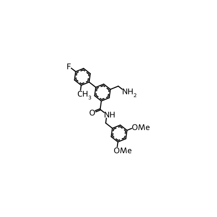 COc1cc(CNC(=O)c2cc(CN)cc(-c3ccc(F)cc3C)c2)cc(OC)c1